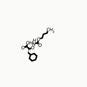 CCCCOC(=O)NO[C@H](CC1CCCCC1)C(=O)O